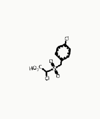 O=C(O)C(Cl)S(=O)(=O)Cc1ccc(Cl)cc1